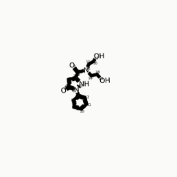 O=C(c1cc(=O)n(-c2ccccc2)[nH]1)N(CCO)CCO